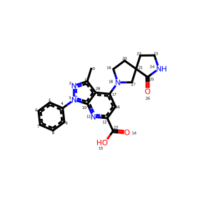 Cc1nn(-c2ccccc2)c2nc(C(=O)O)cc(N3CCC4(CCNC4=O)C3)c12